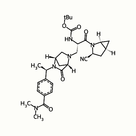 C[C@H](c1ccc(C(=O)N(C)C)cc1)N1C(=O)[C@@H]2C[C@H]1CN2C[C@H](NC(=O)OC(C)(C)C)C(=O)N1[C@H](C#N)C[C@@H]2C[C@@H]21